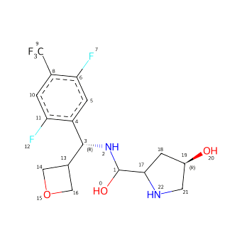 OC(N[C@@H](c1cc(F)c(C(F)(F)F)cc1F)C1COC1)C1C[C@@H](O)CN1